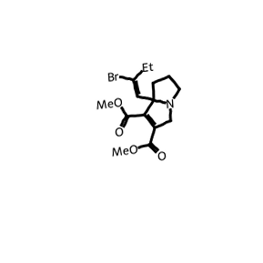 CC/C(Br)=C\C12CCCN1CC(C(=O)OC)=C2C(=O)OC